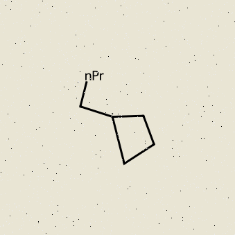 CCCC[C]1CCC1